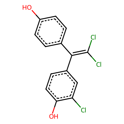 Oc1ccc(C(=C(Cl)Cl)c2ccc(O)c(Cl)c2)cc1